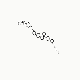 C=CCCCCCOc1ccc(C(=O)Oc2ccc(OCCCC3CCC(CCC)CC3)cc2)cc1